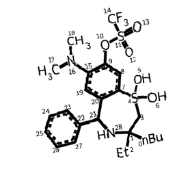 CCCCC1(CC)CS(O)(O)c2cc(OS(=O)(=O)C(F)(F)F)c(N(C)C)cc2C(c2ccccc2)N1